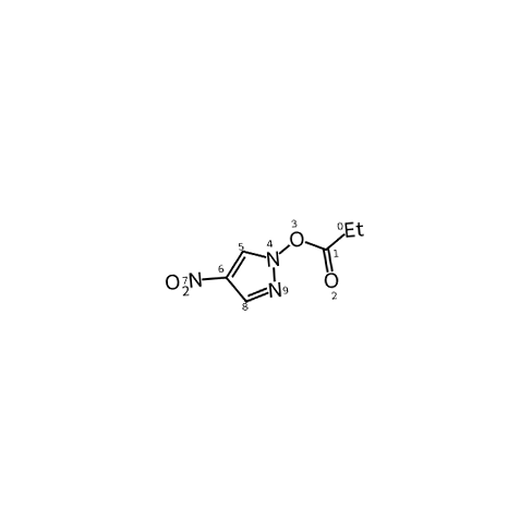 CCC(=O)On1cc([N+](=O)[O-])cn1